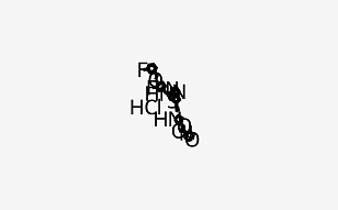 Cl.O=C(O[C@H]1CN[C@H](C#Cc2cc3ncnc(Nc4ccc(OCc5cccc(F)c5)c(F)c4)c3s2)C1)N1CCOCC1